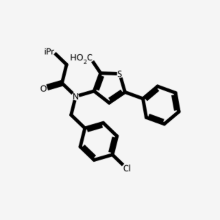 CC(C)CC(=O)N(Cc1ccc(Cl)cc1)c1cc(-c2ccccc2)sc1C(=O)O